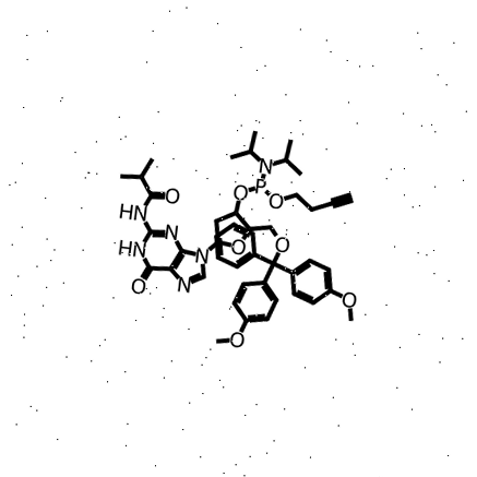 C#CCCOP(OC1CC(n2cnc3c(=O)[nH]c(NC(=O)C(C)C)nc32)OC1COC(c1ccccc1)(c1ccc(OC)cc1)c1ccc(OC)cc1)N(C(C)C)C(C)C